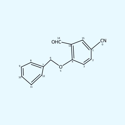 N#Cc1ccc(OCc2ccccc2)c(C=O)c1